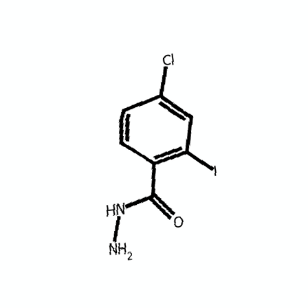 NNC(=O)c1ccc(Cl)cc1I